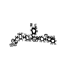 CC(C)(C)OC(=O)CN1CCN(C2CCN(C(=O)C(Cc3ccc(F)c(F)c3)NC(=O)N3CCC(N4Cc5ccccc5NC4=O)CC3)CC2)CC1